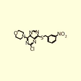 O=[N+]([O-])c1cccc(CSc2ncnc3c(N4CCOCC4)nc(Cl)nc23)c1